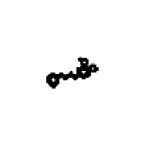 COc1ccc(C[CH]CCc2ccccc2)cc1OC